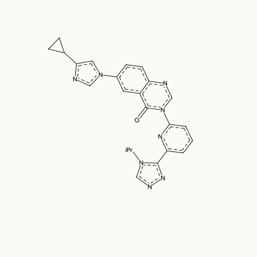 CC(C)n1cnnc1-c1cccc(-n2cnc3ccc(-n4cnc(C5CC5)c4)cc3c2=O)n1